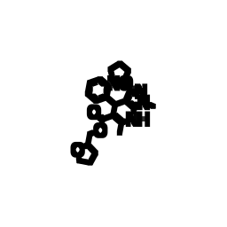 CC1=C(C(=O)OCC2CCCO2)C(c2ccccc2[N+](=O)[O-])c2c(C3CCCC3)nn(C)c2N1